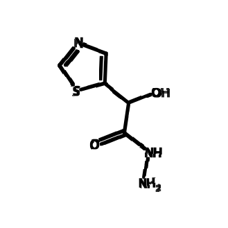 NNC(=O)C(O)c1cncs1